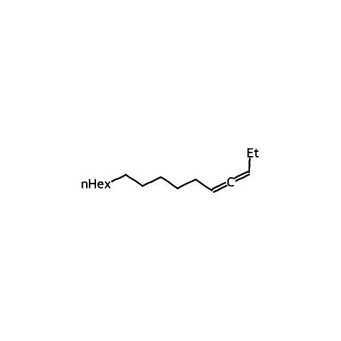 CCC=C=CCCCCCCCCCCC